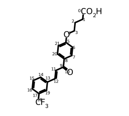 O=C(O)CCCOc1ccc(C(=O)/C=C/c2cccc(C(F)(F)F)c2)cc1